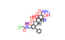 CN(C)[C@@H]1C(O)=C(C(N)=O)C(=O)[C@@]2(O)C(O)=C3C(=O)c4c(O)c(CNC(=O)CCl)cc(-c5ccccc5)c4C[C@@H]3C[C@@H]12